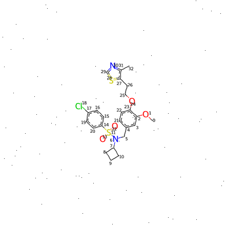 COc1cc(CN(C2CCC2)S(=O)(=O)c2ccc(Cl)cc2)ccc1OCCc1scnc1C